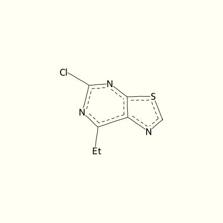 CCc1nc(Cl)nc2scnc12